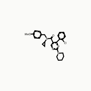 COc1ccc(CN(C(=O)c2cnc(N3CCCCC3)nc2-c2ccccc2Cl)C2CC2)cc1